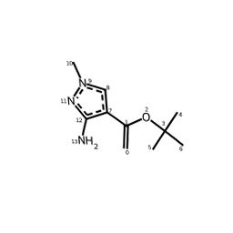 C=C(OC(C)(C)C)c1cn(C)nc1N